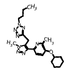 CCCCn1nnc(Cc2c(-c3ccc(OC4CCCCC4)c(C)n3)nnn2C)n1